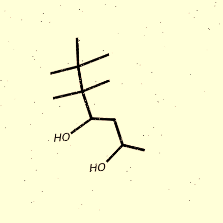 CC(O)CC(O)C(C)(C)C(C)(C)C